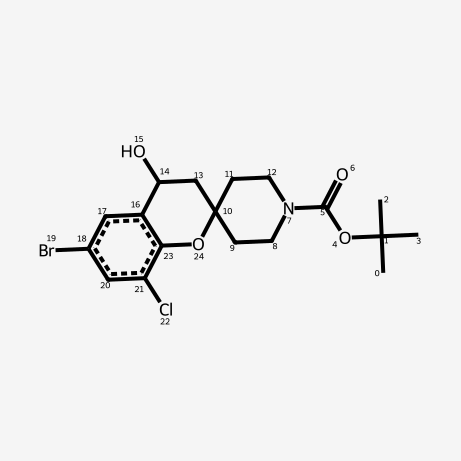 CC(C)(C)OC(=O)N1CCC2(CC1)CC(O)c1cc(Br)cc(Cl)c1O2